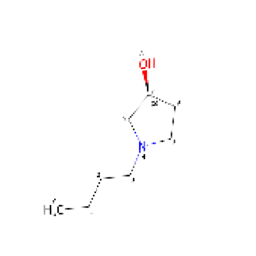 CCCCN1CC[C@H](O)C1